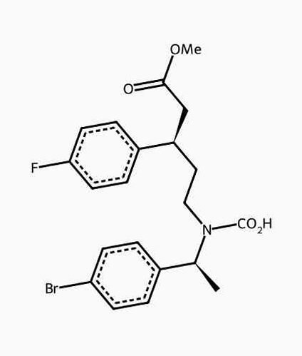 COC(=O)C[C@@H](CCN(C(=O)O)[C@@H](C)c1ccc(Br)cc1)c1ccc(F)cc1